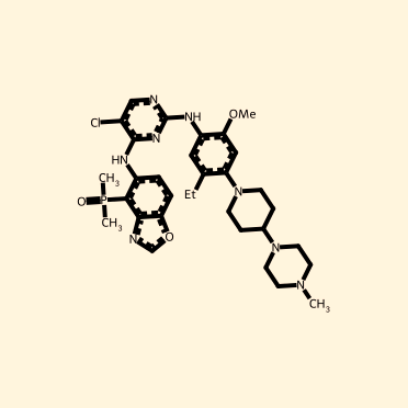 CCc1cc(Nc2ncc(Cl)c(Nc3ccc4ocnc4c3P(C)(C)=O)n2)c(OC)cc1N1CCC(N2CCN(C)CC2)CC1